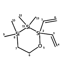 C=C[Si]1(C=C)OCC[Si](C)(C)[Si]1(C)C